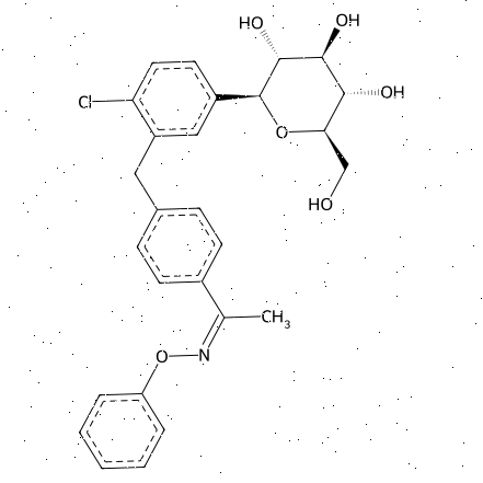 CC(=NOc1ccccc1)c1ccc(Cc2cc([C@@H]3O[C@H](CO)[C@@H](O)[C@H](O)[C@H]3O)ccc2Cl)cc1